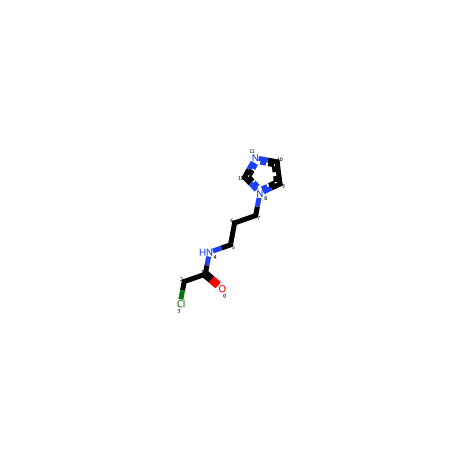 O=C(CCl)NCCCn1ccnc1